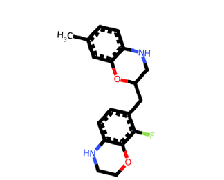 Cc1ccc2c(c1)OC(Cc1ccc3c(c1F)OCCN3)CN2